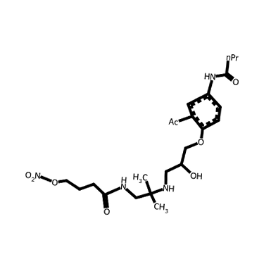 CCCC(=O)Nc1ccc(OCC(O)CNC(C)(C)CNC(=O)CCCO[N+](=O)[O-])c(C(C)=O)c1